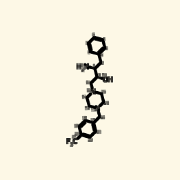 N[C@@H](Cc1ccccc1)[C@@H](O)CN1CCN(Cc2ccc(C(F)(F)F)cc2)CC1